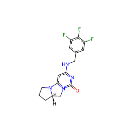 O=c1nc(NCc2cc(F)c(F)c(F)c2)cc2n1C[C@@H]1CCCN21